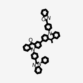 CC1c2ccccc2N(c2ccc(-c3nc4ccccc4o3)cc2)c2ccc(-c3ccc4c(c3)c(=O)c3ccccc3n4-c3ccc(-c4nc5ccccc5n4-c4ccccc4)cc3)cc21